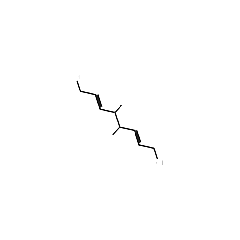 OCC=CC(O)C(O)C=CCO